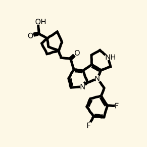 O=C(CC12CCC(C(=O)O)(CC1)C2)c1ccnc2c1c1c(n2Cc2ccc(F)cc2F)CNCC1